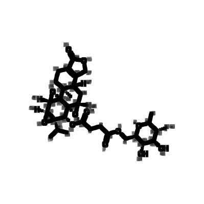 CC1O[C@H](COC(=O)CCC(=O)O[C@@H]2[C@@]3(C(C)C)O[C@H]3[C@@H]3O[C@]34[C@]23O[C@H]3C[C@H]2C3=C(CC[C@@]24C)C(=O)OC3)[C@@H](O)[C@H](O)[C@H]1F